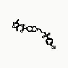 Cc1noc(C)c1NC(=O)N1CC2CN(CCCS(=O)(=O)c3ccc(C#N)cc3)CC2C1